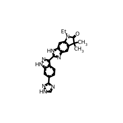 CCN1C(=O)C(C)(C)c2cc3nc(-c4n[nH]c5cc(-c6nc[nH]n6)ccc45)[nH]c3cc21